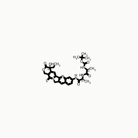 CC[C@@]1(O)C(=O)OCc2c1cc1n(c2=S)Cc2cc3ccc(NC(=O)[C@H](C)NC(=O)[C@H](C)NC(=O)OC(C)(C)C)cc3nc2-1